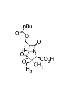 CCCCC(=O)OC[C@H]1C(=O)N2[C@@H](C(=O)O)C(C)(C)S(=O)(=O)[C@H]12